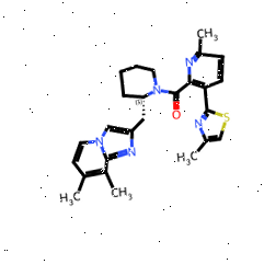 Cc1csc(-c2ccc(C)nc2C(=O)N2CCCC[C@H]2Cc2cn3ccc(C)c(C)c3n2)n1